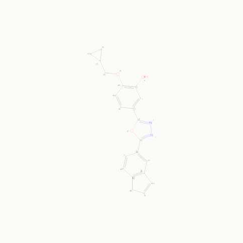 Oc1cc(-c2nnc(-c3ccc4c(c3)C=CC4)o2)ccc1OCC1CC1